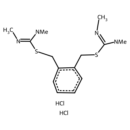 CN=C(NC)SCc1ccccc1CS/C(=N/C)NC.Cl.Cl